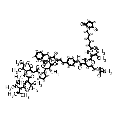 CCC(C)C(C(CC(=O)N1CCCC1C(OC)C(C)C(=O)N[C@@H](Cc1ccccc1)C(=O)NCCc1ccc(NC(=O)C(CCCNC(N)=O)NC(=O)[C@H](NC(=O)CCCCCN2C(=O)C=CC2=O)C(C)C)cc1)OC)N(C)C(=O)[C@@H](NC(=O)C(C(C)C)N(C)C)C(C)C